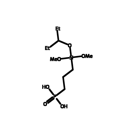 CCC(CC)O[Si](CCCP(=O)(O)O)(OC)OC